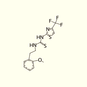 COc1ccccc1CCNC(=S)Nc1nc(C(F)(F)F)cs1